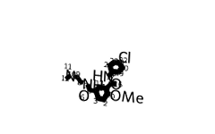 COc1ccc(C(=O)NCCN(C)C)cc1C(=O)Nc1ccc(Cl)cc1